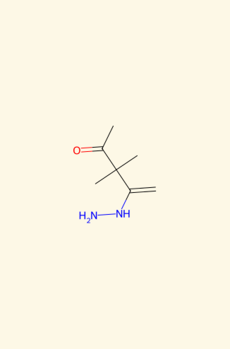 C=C(NN)C(C)(C)C(C)=O